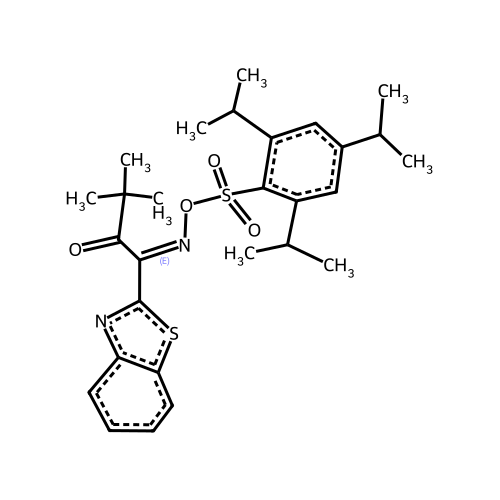 CC(C)c1cc(C(C)C)c(S(=O)(=O)O/N=C(\C(=O)C(C)(C)C)c2nc3ccccc3s2)c(C(C)C)c1